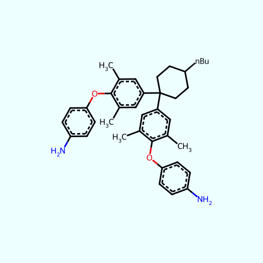 CCCCC1CCC(c2cc(C)c(Oc3ccc(N)cc3)c(C)c2)(c2cc(C)c(Oc3ccc(N)cc3)c(C)c2)CC1